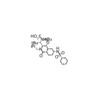 CCCCOc1c(C(NC(=O)O)C(C)(C)C)n(CC(C)C)c(=O)c2ccc(NS(=O)(=O)c3ccccc3)cc12